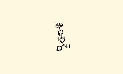 CC(C)(C)OC(=O)N1CCN(c2ncc(C(=N)c3ccccc3)cn2)CC1